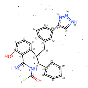 N=C(NC(=O)F)c1c(O)cccc1[C](Cc1ccccc1)Cc1cccc(-c2c[nH]nn2)c1